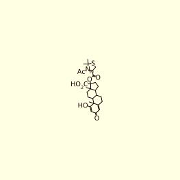 CC(=O)N1[C@H](C(=O)OC2(C(=O)O)CCC3C4CCC5=CC(=O)C=C(O)C5(C)C4CCC32C)CSC1(C)C